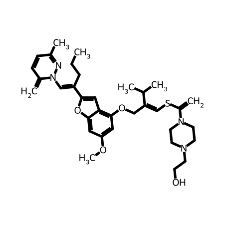 C=C(S/C=C(/COc1cc(OC)cc2oc(/C(=C/N3N=C(C)C=CC3=C)CCC)cc12)C(C)C)N1CCN(CCO)CC1